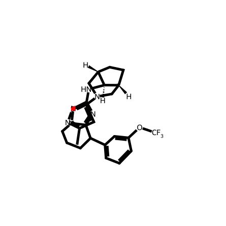 Cc1cc(N2C[C@H]3CC[C@@H](C2)[C@@H]3Nc2nc3n(n2)CCCC3c2cccc(OC(F)(F)F)c2)sn1